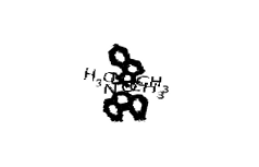 CN1c2c(ccc3ccccc23)C(C)(C)C12C=Nc1c(c3ccccc3c3ccccc13)O2